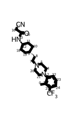 Cc1c(N2CCN(CC[C@H]3CC[C@H](NC(=O)CC#N)CC3)CC2)cccc1C(F)(F)F